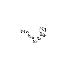 Cl.[Na].[Na].[Na].[Na].[Na]